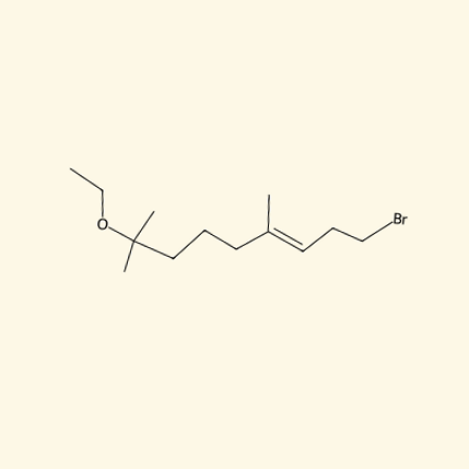 CCOC(C)(C)CCC/C(C)=C/CCBr